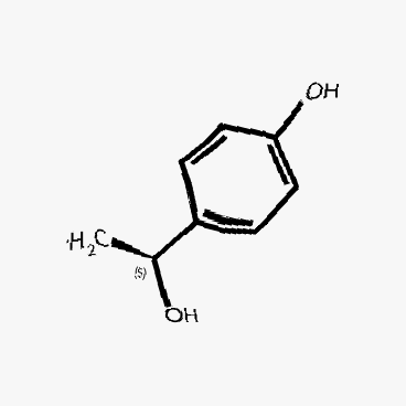 [CH2][C@H](O)c1ccc(O)cc1